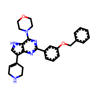 C1=C(c2c[nH]c3c(N4CCOCC4)nc(-c4cccc(OCc5ccccc5)c4)nc23)CCNC1